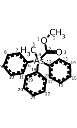 COC(=O)[As](C)(c1ccccc1)(c1ccccc1)c1ccccc1